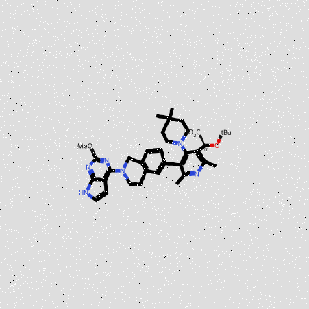 COc1nc(N2CCc3cc(-c4c(C)nc(C)c([C@H](OC(C)(C)C)C(=O)O)c4N4CCC(C)(C)CC4)ccc3C2)c2cc[nH]c2n1